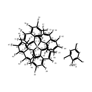 Cc1cc(C)c([NH3+])c(C)c1.Fc1c(F)c(F)c2c([B-](c3c(F)c(F)c(F)c4c(F)c(F)c(F)c(F)c34)(c3c(F)c(F)c(F)c4c(F)c(F)c(F)c(F)c34)c3c(F)c(F)c(F)c4c(F)c(F)c(F)c(F)c34)c(F)c(F)c(F)c2c1F